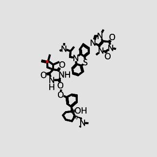 C=CCC1(C(C)CC)C(=O)NC(=O)NC1=O.CC(CN1c2ccccc2Sc2ccccc21)N(C)C.COc1cccc([C@@]2(O)CCCC[C@@H]2CN(C)C)c1.Cn1c(=O)c2c(ncn2C)n(C)c1=O